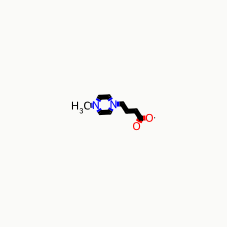 CN1CCN(CCCC([O])=O)CC1